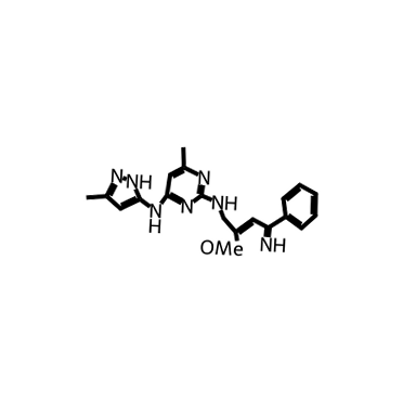 CO/C(=C\C(=N)c1ccccc1)CNc1nc(C)cc(Nc2cc(C)n[nH]2)n1